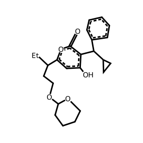 CCC(CCOC1CCCCO1)c1cc(O)c(C(c2ccccc2)C2CC2)c(=O)o1